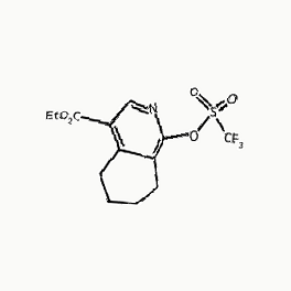 CCOC(=O)c1cnc(OS(=O)(=O)C(F)(F)F)c2c1CCCC2